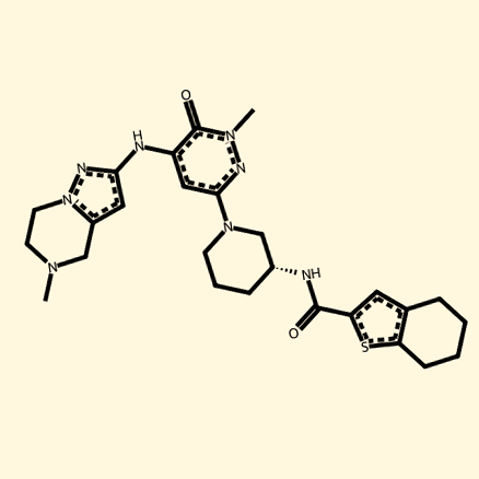 CN1CCn2nc(Nc3cc(N4CCC[C@@H](NC(=O)c5cc6c(s5)CCCC6)C4)nn(C)c3=O)cc2C1